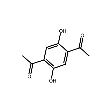 CC(=O)c1cc(O)c(C(C)=O)cc1O